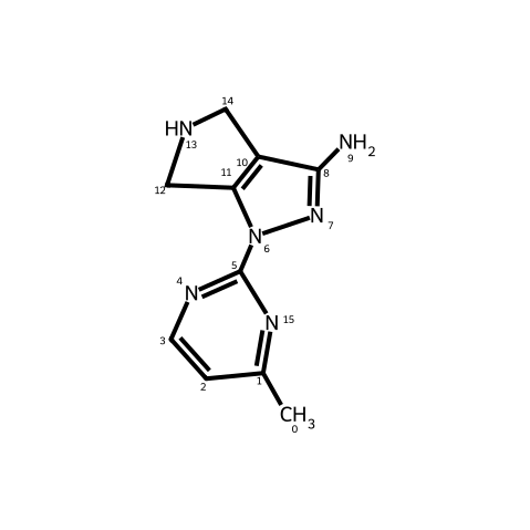 Cc1ccnc(-n2nc(N)c3c2CNC3)n1